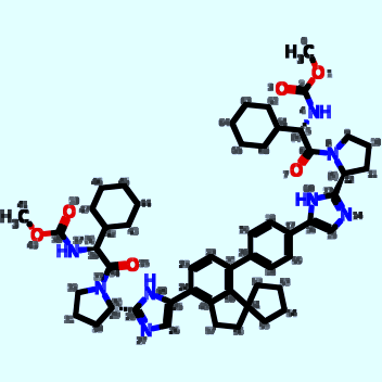 COC(=O)N[C@H](C(=O)N1CCC[C@H]1c1ncc(-c2ccc(-c3ccc(-c4cnc([C@@H]5CCCN5C(=O)[C@@H](NC(=O)OC)C5CCCCC5)[nH]4)c4c3C3(CCCC3)CC4)cc2)[nH]1)C1CCCCC1